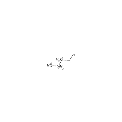 CC[SiH2][SiH2]O